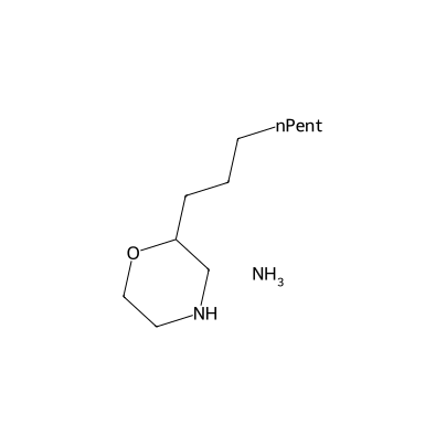 CCCCCCCCC1CNCCO1.N